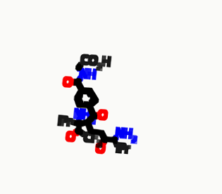 CC(C)[C@H](N)C(=O)CCC(C(=O)c1ccc(C(=O)NCC(=O)O)cc1)C(N)(C(=O)C(F)(F)F)C(C)C